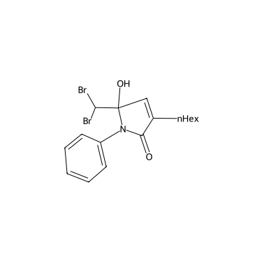 CCCCCCC1=CC(O)(C(Br)Br)N(c2ccccc2)C1=O